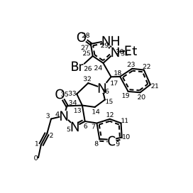 CC#CCN1N=C(c2ccccc2)C2(CCN(C(c3ccccc3)c3c(Br)c(=O)[nH]n3CC)CC2)C1=O